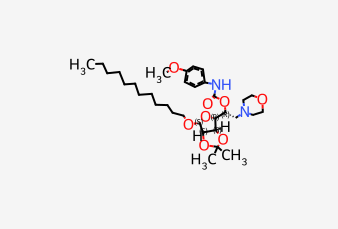 CCCCCCCCCCCCO[C@H]1O[C@H]([C@@H](CN2CCOCC2)OC(=O)Nc2ccc(OC)cc2)[C@@H]2OC(C)(C)O[C@H]12